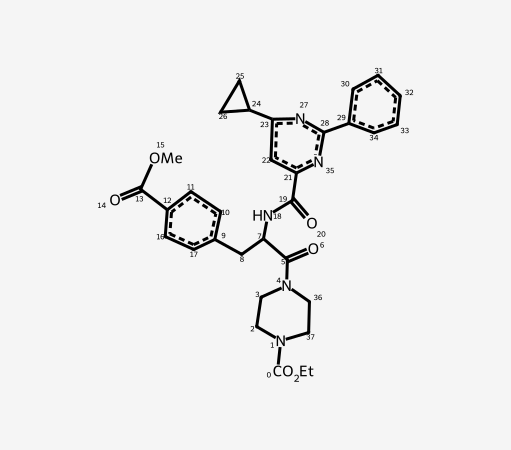 CCOC(=O)N1CCN(C(=O)C(Cc2ccc(C(=O)OC)cc2)NC(=O)c2cc(C3CC3)nc(-c3ccccc3)n2)CC1